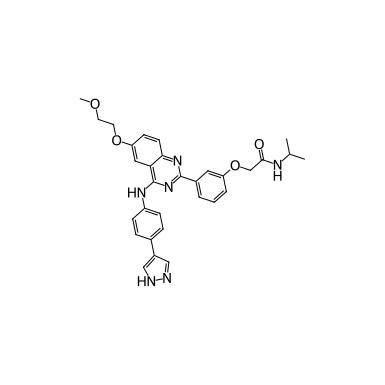 COCCOc1ccc2nc(-c3cccc(OCC(=O)NC(C)C)c3)nc(Nc3ccc(-c4cn[nH]c4)cc3)c2c1